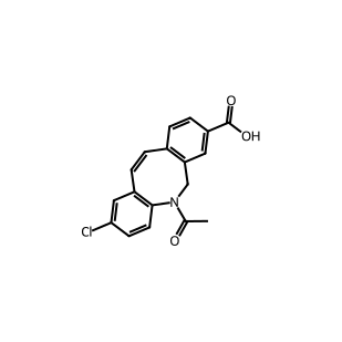 CC(=O)N1Cc2cc(C(=O)O)ccc2C=Cc2cc(Cl)ccc21